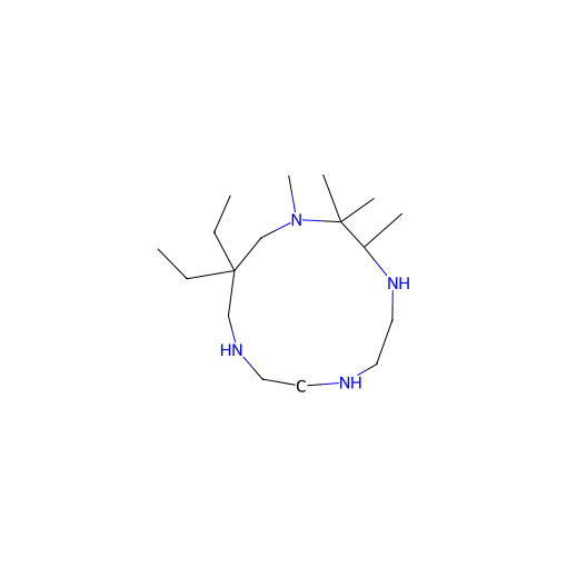 CCC1(CC)CNCCNCCNC(C)C(C)(C)N(C)C1